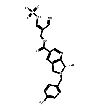 CCS(=O)(=O)N/C=C(\C=N)CNC(=O)c1cnc2c(c1)CN(Cc1ccc(C(F)(F)F)cc1)[C@H]2C(C)C